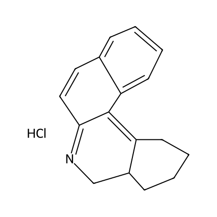 Cl.c1ccc2c3c(ccc2c1)=NCC1CCCCC=31